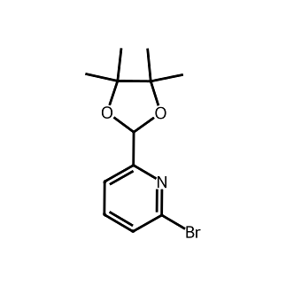 CC1(C)OC(c2cccc(Br)n2)OC1(C)C